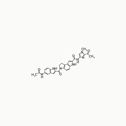 CC(=O)Nc1ccc2[nH]c(C(=O)N3CCc4c3ccc3[nH]c(C(=O)Nc5cn(C)c(C(C)=O)n5)cc43)cc2c1